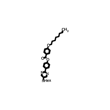 C=CCCCCCCOc1ccc(C(=O)Oc2ccc(-c3ncc(CCCCCC)cn3)cc2)cc1